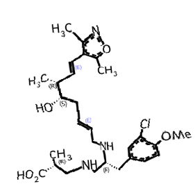 COc1ccc(C[C@H](CNC[C@@H](C)C(=O)O)NC/C=C/C[C@H](O)[C@H](C)/C=C/c2c(C)noc2C)cc1Cl